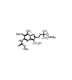 CCOC(=O)c1c(CCC(C)(C)OSC(C)(C)C)nn2c(C)c(OC)c(NC(=O)OC(C)(C)C)cc12